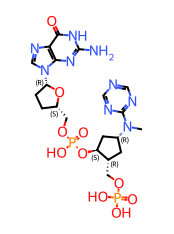 CN(c1ncncn1)[C@@H]1C[C@H](COP(=O)(O)O)[C@@H](OP(=O)(O)OC[C@@H]2CC[C@H](n3cnc4c(=O)[nH]c(N)nc43)O2)C1